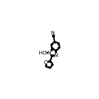 N#Cc1ccc2nc(-c3ccco3)n(O)c2c1